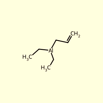 C=C[CH2][Al]([CH2]C)[CH2]C